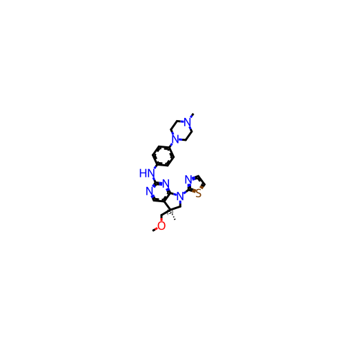 COC[C@]1(C)CN(c2nccs2)c2nc(Nc3ccc(N4CCN(C)CC4)cc3)ncc21